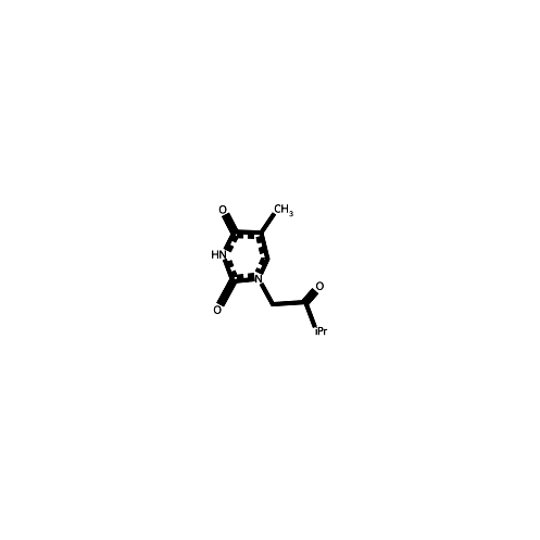 Cc1cn(CC(=O)C(C)C)c(=O)[nH]c1=O